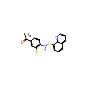 CC(=O)c1ccc(NSc2cccc3cccnc23)c(F)c1